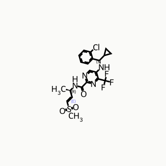 C[C@H](/C=C/S(C)(=O)=O)NC(=O)c1ncc(N[C@H](c2ccccc2Cl)C2CC2)c(C(F)(F)F)n1